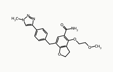 COCCOc1c(C(N)=O)cc(Cc2ccc(-c3cn(C)nn3)cc2)c2c1CCO2